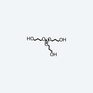 OCCC[O][Al]([O]CCCO)[O]CCCO